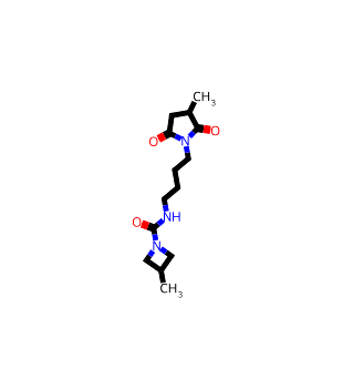 CC1CN(C(=O)NCCCCN2C(=O)CC(C)C2=O)C1